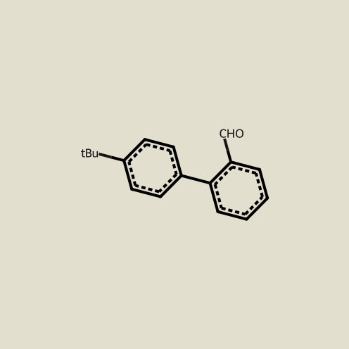 CC(C)(C)c1ccc(-c2ccccc2C=O)cc1